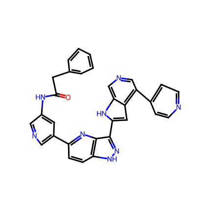 O=C(Cc1ccccc1)Nc1cncc(-c2ccc3[nH]nc(-c4cc5c(-c6ccncc6)cncc5[nH]4)c3n2)c1